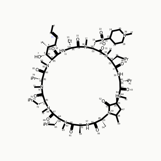 C/C=C/C[C@@H](C)[C@@H](O)[C@@H]1C(=O)N[C@H](CC)C(=O)N(C)[C@H](CS(=O)(=O)C2CCN(C)CC2)C(=O)N(C)[C@@H](CC(C)C)C(=O)N[C@H](C(C)C)C(=O)N(C)[C@@H]2CC(C)N(C2=O)[C@H](C)C(=O)N[C@@H](C)C(=O)N(C)[C@H](CC(C)C)C(=O)N(C)[C@H](CC(C)C)C(=O)N(C)[C@H](C(C)C)C(=O)N1C